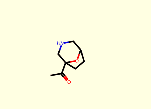 CC(=O)C12CCC(CNC1)O2